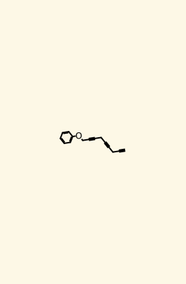 C#CCC#CCC#CCOc1ccccc1